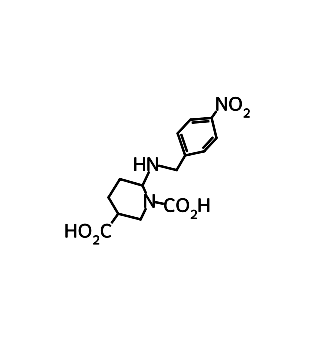 O=C(O)C1CCC(NCc2ccc([N+](=O)[O-])cc2)N(C(=O)O)C1